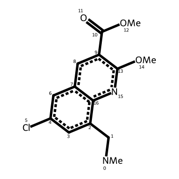 CNCc1cc(Cl)cc2cc(C(=O)OC)c(OC)nc12